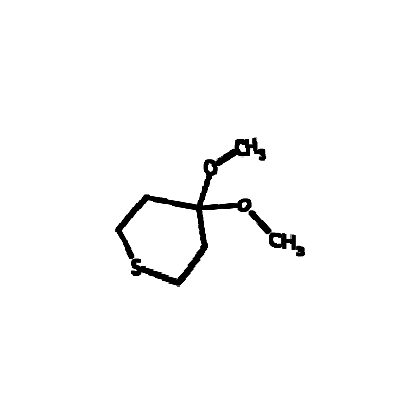 COC1(OC)CCSCC1